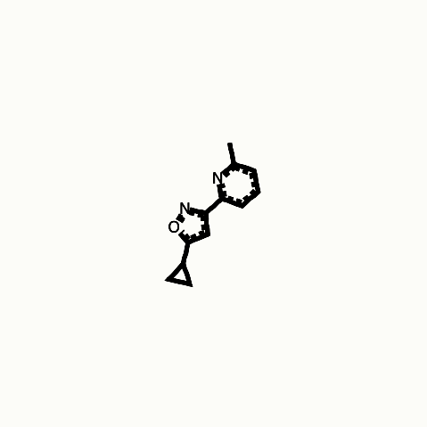 Cc1cccc(-c2cc(C3CC3)on2)n1